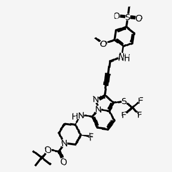 COc1cc(S(C)(=O)=O)ccc1NCC#Cc1nn2c(N[C@@H]3CCN(C(=O)OC(C)(C)C)C[C@@H]3F)cccc2c1SC(F)(F)F